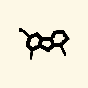 Brc1cc(I)c2oc3c(I)cccc3c2c1